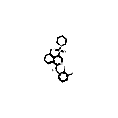 CC1=c2c(S(=O)(=O)N3CCCCC3)cnc(Nc3cccc(F)c3F)c2=CCC1